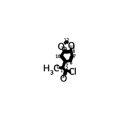 CC(C(=O)Cl)c1ccc2c(c1)OCO2